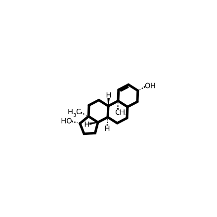 C[C@]12CC[C@H]3[C@@H](CCC4C[C@@H](O)C=C[C@@]43C)[C@@H]1CC[C@@H]2O